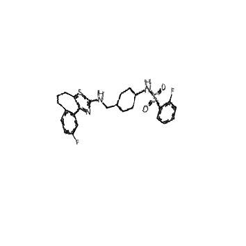 O=S(=O)(NC1CCC(CNc2nc3c(s2)CCCc2ccc(F)cc2-3)CC1)c1ccccc1F